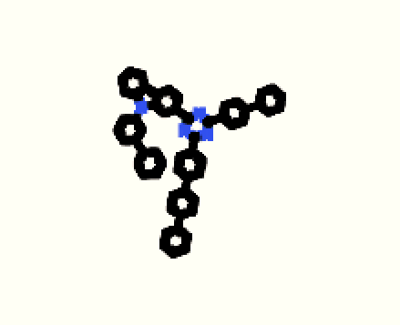 c1ccc(-c2ccc(-c3ccc(-c4nc(-c5ccc(-c6ccccc6)cc5)nc(-c5ccc6c7ccccc7n(-c7cccc(-c8ccccc8)c7)c6c5)n4)cc3)cc2)cc1